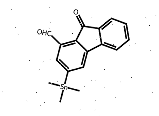 [CH3][Sn]([CH3])([CH3])[c]1cc(C=O)c2c(c1)-c1ccccc1C2=O